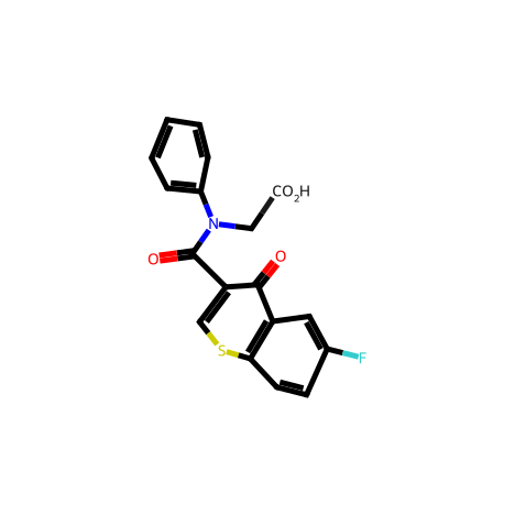 O=C(O)CN(C(=O)c1csc2ccc(F)cc2c1=O)c1ccccc1